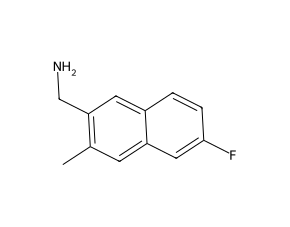 Cc1cc2cc(F)ccc2cc1CN